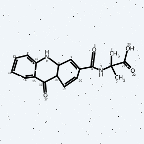 CC(C)(NC(=O)C1=CC2Nc3ccccc3C(=O)C2C=C1)C(=O)O